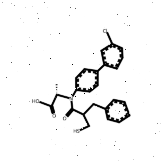 C[C@@H](C(=O)O)N(C(=O)C(CS)Cc1ccccc1)c1ccc(-c2cccc(Cl)c2)cc1